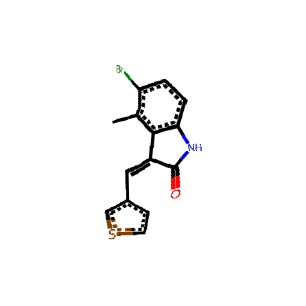 Cc1c(Br)ccc2c1C(=Cc1ccsc1)C(=O)N2